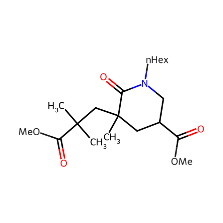 CCCCCCN1CC(C(=O)OC)CC(C)(CC(C)(C)C(=O)OC)C1=O